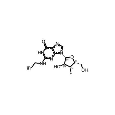 CC(C)CNc1nc2c(ncn2[C@@H]2O[C@H](CO)[C@@H](F)[C@H]2O)c(=O)[nH]1